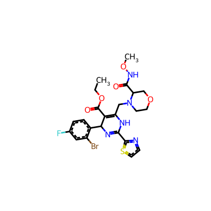 CCOC(=O)C1=C(CN2CCOCC2C(=O)NOC)NC(c2nccs2)=NC1c1ccc(F)cc1Br